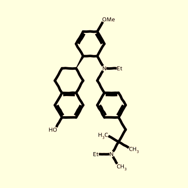 CCN(Cc1ccc(CC(C)(C)N(C)CC)cc1)C1C=C(OC)C=CC1[C@@H]1CCc2cc(O)ccc2C1